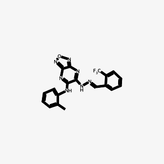 Cc1ccccc1Nc1nc2nonc2nc1NN=Cc1ccccc1C(F)(F)F